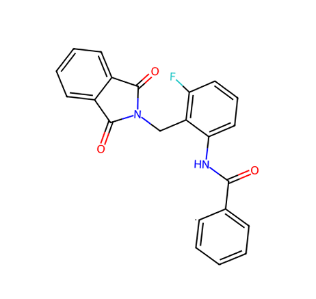 O=C(Nc1cccc(F)c1CN1C(=O)c2ccccc2C1=O)c1[c]cccc1